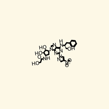 O=C(CO)N[C@H]1C[C@@H](n2cnc3c(N[C@H](CO)Cc4ccccc4)nc(-n4cc([N+](=O)[O-])cn4)nc32)[C@H](O)[C@@H]1O